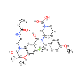 CCC(=O)NCCN1C(=O)C(C)(C)Oc2cc(F)c(C(=O)N(CC)[C@H]3CN(C(=O)O)CC[C@@H]3c3cccc(OC)c3)cc21